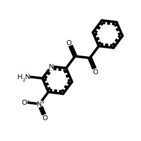 Nc1nc(C(=O)C(=O)c2ccccc2)ccc1[N+](=O)[O-]